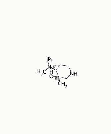 CC(C)N(C)[C@H]1CCNC[C@]1(C)O